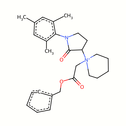 Cc1cc(C)c(N2CCC([N+]3(CC(=O)OCc4ccccc4)CCCCC3)C2=O)c(C)c1